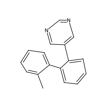 Cc1ccccc1-c1ccccc1-c1cncnc1